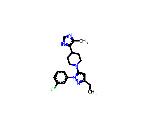 CCc1cc(N2CCC(c3[nH]cnc3C)CC2)n(-c2cccc(Cl)c2)n1